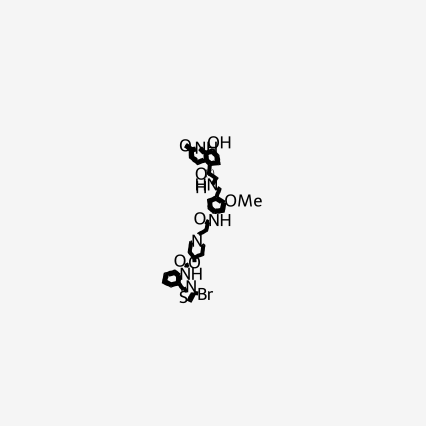 COc1cc(NC(=O)CCN2CCC(OC(=O)Nc3ccccc3-c3nc(Br)cs3)CC2)ccc1CNC[C@@H](O)c1ccc(O)c2[nH]c(=O)ccc12